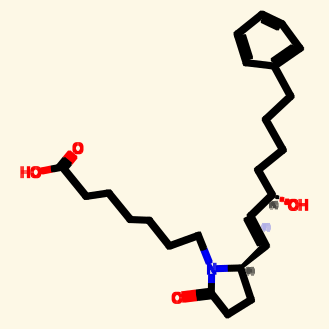 O=C(O)CCCCCCN1C(=O)CC[C@@H]1/C=C/[C@@H](O)CCCCc1ccccc1